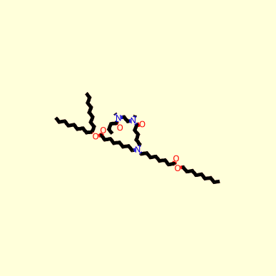 CCCCCCCCCOC(=O)CCCCCCCN(CCCCCCCC(=O)OC(CCCCCCCC)CCCCCCCC)CCCCC(=O)N(C)CCN(C)C(=O)CCC